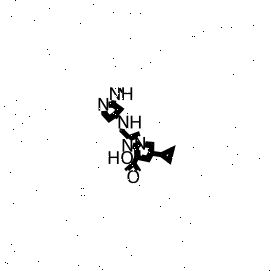 CNc1cc(NCc2cn3cc(C4CC4)cc(C4(O)COC4)c3n2)ccn1